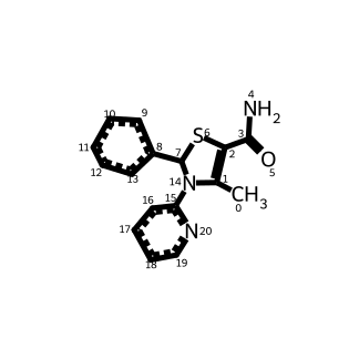 CC1=C(C(N)=O)SC(c2ccccc2)N1c1ccccn1